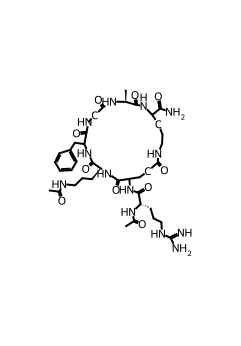 CC(=O)NCCC[C@@H]1NC(=O)C(NC(=O)[C@H](CCCNC(=N)N)NC(C)=O)CCC(=O)NCCCC(C(N)=O)NC(=O)[C@H](C)NC(=O)CNC(=O)C(Cc2ccccc2)NC1=O